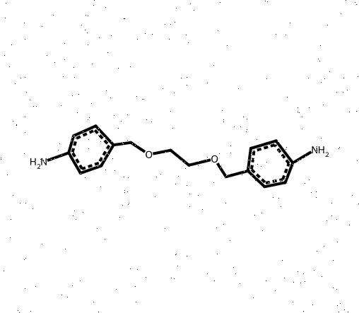 Nc1ccc(COCCOCc2ccc(N)cc2)cc1